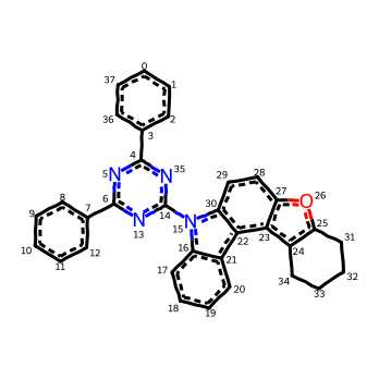 c1ccc(-c2nc(-c3ccccc3)nc(-n3c4ccccc4c4c5c6c(oc5ccc43)CCCC6)n2)cc1